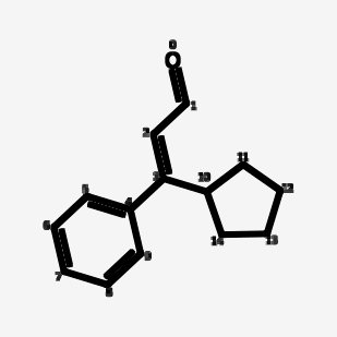 O=CC=C(c1ccccc1)C1CCCC1